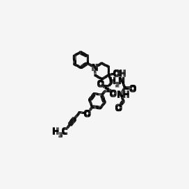 CC#CCOc1ccc(S(=O)(=O)CC2(O)CCN(c3ccccc3)CC2)cc1.NC(=O)NC=O